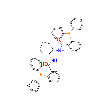 O=C(N[C@@H]1CCCC[C@H]1NC(O)c1ccccc1P(c1ccccc1)c1ccccc1)c1ccccc1P(c1ccccc1)c1ccccc1